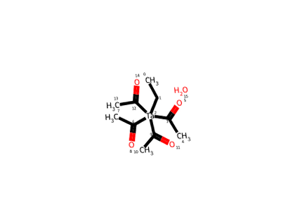 C[CH2][Ta]([C](C)=O)([C](C)=O)([C](C)=O)[C](C)=O.O